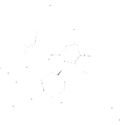 CCOC(=O)C1=CNC(C)=C(C#N)[C@H]1C1CCCCCC1.CN=C(N)S.Cl